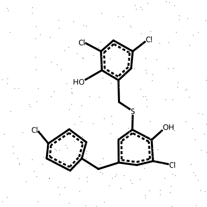 Oc1c(Cl)cc(Cl)cc1CSc1cc(Cc2ccc(Cl)cc2)cc(Cl)c1O